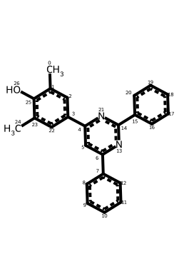 Cc1cc(-c2cc(-c3ccccc3)nc(-c3ccccc3)n2)cc(C)c1O